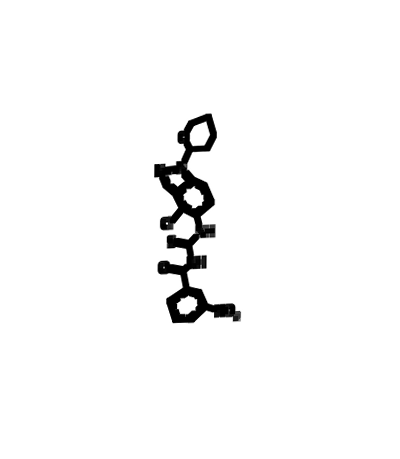 O=C(NC(=S)Nc1ccc2c(cnn2C2CCCCO2)c1Cl)c1cccc([N+](=O)[O-])c1